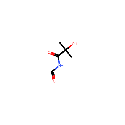 CC(C)(O)C(=O)NC=O